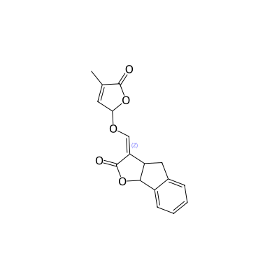 CC1=CC(O/C=C2\C(=O)OC3c4ccccc4CC23)OC1=O